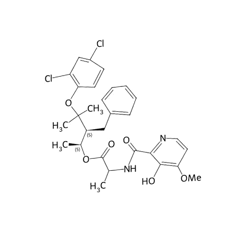 COc1ccnc(C(=O)NC(C)C(=O)O[C@@H](C)[C@H](Cc2ccccc2)C(C)(C)Oc2ccc(Cl)cc2Cl)c1O